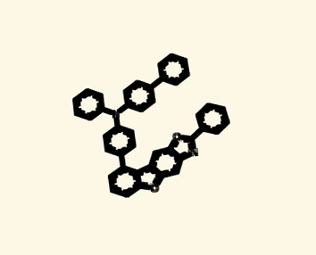 c1ccc(-c2ccc(N(c3ccccc3)c3ccc(-c4cccc5oc6cc7nc(-c8ccccc8)oc7cc6c45)cc3)cc2)cc1